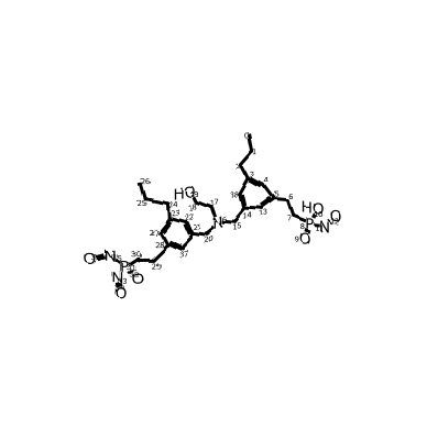 CCCc1cc(CCP(=O)(O)N=O)cc(CN(CCO)Cc2cc(CCC)cc(CCP(=O)(N=O)N=O)c2)c1